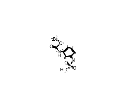 CC(C)(C)OC(=O)NC1=CC=CC(=NS(C)(=O)=O)C1